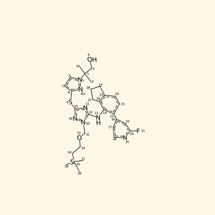 CC(C)(CO)n1ccc(Sc2nc(Nc3c(-c4ccnc(F)c4)ccc4c3CCC4)n(COCC[Si](C)(C)C)n2)n1